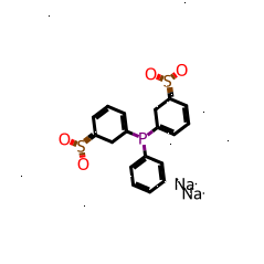 O=S(=O)=C1C=CC=C(P(C2=CC=CC(=S(=O)=O)C2)c2ccccc2)C1.[Na].[Na]